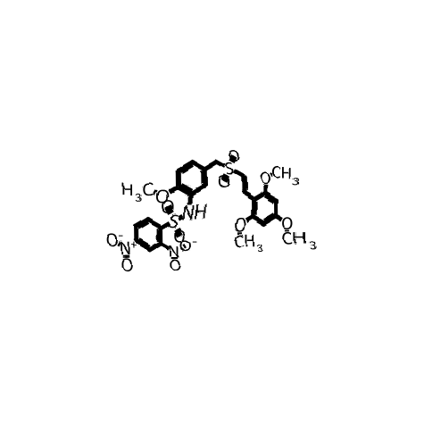 COc1cc(OC)c(/C=C/S(=O)(=O)Cc2ccc(OC)c(NS(=O)(=O)c3ccc([N+](=O)[O-])cc3[N+](=O)[O-])c2)c(OC)c1